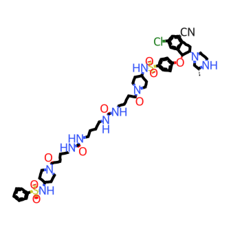 C[C@@H]1CN([C@H]2Cc3c(C#N)cc(Cl)cc3[C@@H]2Oc2ccc(S(=O)(=O)NC3CCN(C(=O)CCCNC(=O)NCCCCNC(=O)NCCCC(=O)N4CCC(NS(=O)(=O)c5ccccc5)CC4)CC3)cc2)CCN1